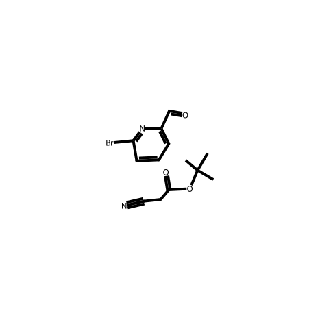 CC(C)(C)OC(=O)CC#N.O=Cc1cccc(Br)n1